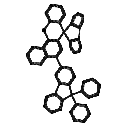 c1ccc(C2(c3ccccc3)c3ccccc3-c3cc(-c4cc5c(c6ccccc46)Oc4ccccc4C54c5ccccc5-c5ccccc54)ccc32)cc1